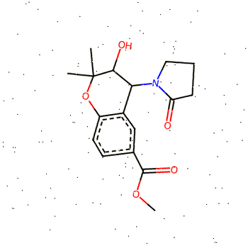 COC(=O)c1ccc2c(c1)C(N1CCCC1=O)C(O)C(C)(C)O2